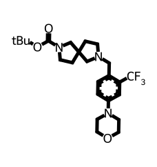 CC(C)(C)OC(=O)N1CCC2(CCN(Cc3ccc(N4CCOCC4)cc3C(F)(F)F)C2)C1